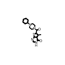 Cc1c(C(=O)N2CCN(c3ccccc3)CC2)sc2nc[nH]c(=O)c12